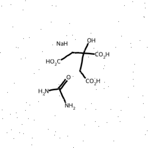 NC(N)=O.O=C(O)CC(O)(CC(=O)O)C(=O)O.[NaH]